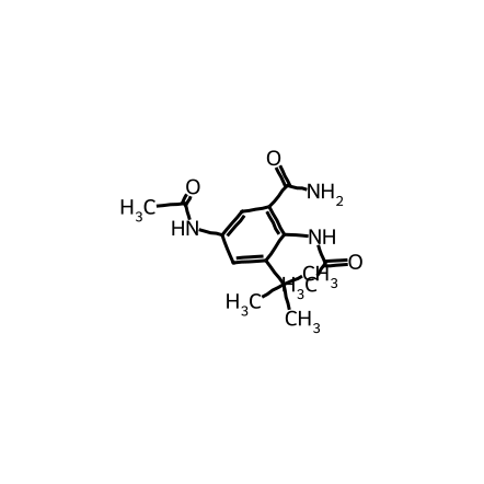 CC(=O)Nc1cc(C(N)=O)c(NC(C)=O)c(C(C)(C)C)c1